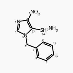 N.O=[N+]([O-])c1ncn(Cc2ccccc2)c1S